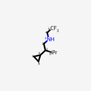 CC(C)C(CNCC(F)(F)F)C1CC1